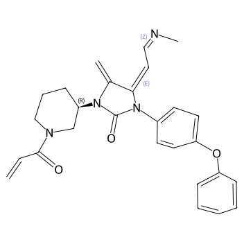 C=CC(=O)N1CCC[C@@H](n2c(=C)/c(=C\C=N/C)n(-c3ccc(Oc4ccccc4)cc3)c2=O)C1